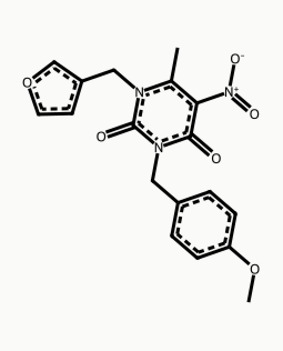 COc1ccc(Cn2c(=O)c([N+](=O)[O-])c(C)n(Cc3ccoc3)c2=O)cc1